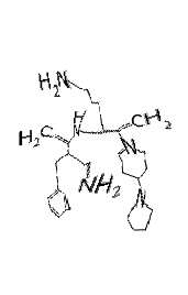 C=C(NCC(CCCN)C(=C)N1CCC(N2CCCC2)CC1)C(CN)Cc1ccccc1